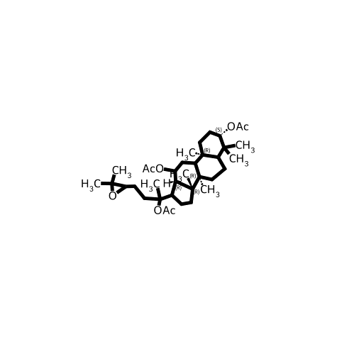 CC(=O)OC1CC2[C@@]3(C)CC[C@H](OC(C)=O)C(C)(C)C3CC[C@@]2(C)[C@]2(C)CCC(C(C)(CCC3OC3(C)C)OC(C)=O)[C@@H]12